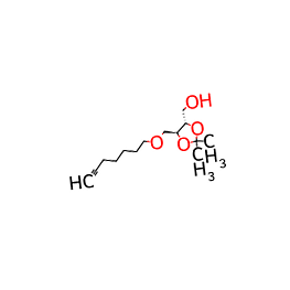 C#CCCCCCOC[C@@H]1OC(C)(C)O[C@H]1CO